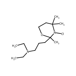 CCN(CC)CCCC1(C)OCCC(C)(C)N1Cl